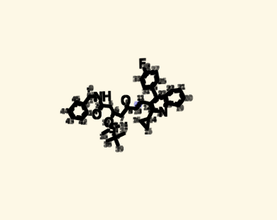 C[C@H](NC(=O)C[C@@H](CC(=O)/C=C/c1c(C2CC2)nc2ccccc2c1-c1ccc(F)cc1)O[Si](C)(C)C(C)(C)C)c1ccccc1